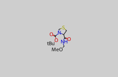 COCNC(=O)C1CSCN1C(=O)OC(C)(C)C